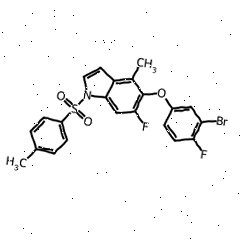 Cc1ccc(S(=O)(=O)n2ccc3c(C)c(Oc4ccc(F)c(Br)c4)c(F)cc32)cc1